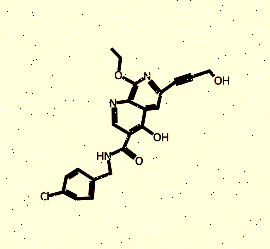 CCOc1nc(C#CCO)cc2c(O)c(C(=O)NCc3ccc(Cl)cc3)cnc12